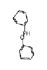 c1ccc(OPc2ccccc2)cc1